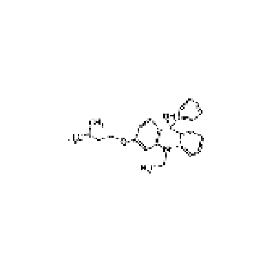 CCN1c2ccccc2C(O)(c2ccccc2)c2ccc(OCCN(C)C)cc21